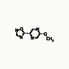 COc1cnc(-c2ncno2)cn1